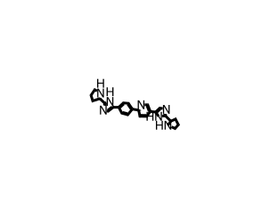 c1cc(-c2cnc(C3CCCN3)[nH]2)ccc1-c1ccc(-c2cnc(C3CCCN3)[nH]2)cn1